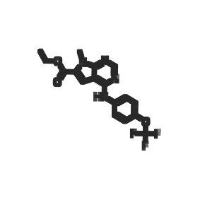 CCOC(=O)c1cc2c(Nc3ccc(OC(F)(F)F)cc3)ncnc2n1C